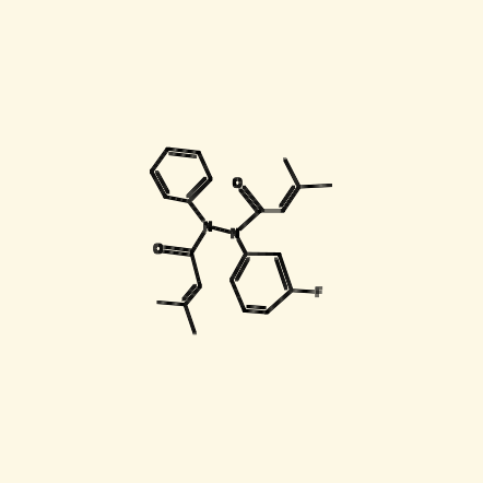 CC(C)=CC(=O)N(c1ccccc1)N(C(=O)C=C(C)C)c1cccc(F)c1